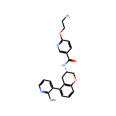 COc1ncccc1-c1cccc2c1C[C@H](NC(=O)c1ccc(OCCC(F)(F)F)nc1)CO2